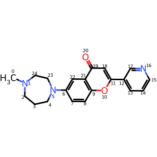 CN1CCCN(c2ccc3oc(-c4cccnc4)cc(=O)c3c2)CC1